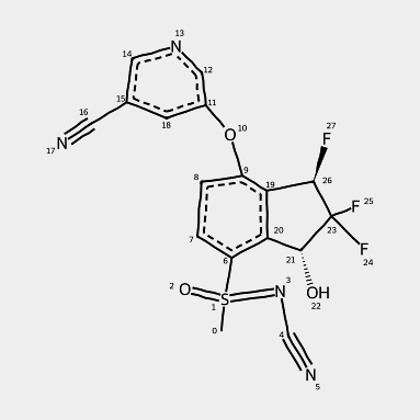 CS(=O)(=NC#N)c1ccc(Oc2cncc(C#N)c2)c2c1[C@@H](O)C(F)(F)[C@@H]2F